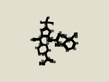 CC(C)(C)c1cc(C(=O)N2CCN(C(=O)O)CC2)c(NC(=O)Nc2cccc(Cl)c2Cl)s1